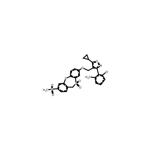 Cc1cccc(Cl)c1-c1noc(C2CC2)c1COc1ccc2c(c1)S(=O)(=O)Cc1ccc(S(C)(=O)=O)cc1O2